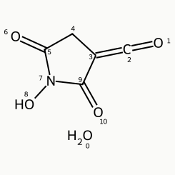 O.O=C=C1CC(=O)N(O)C1=O